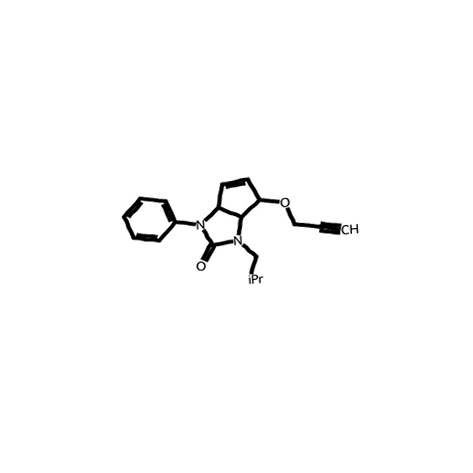 C#CCOC1C=CC2C1N(CC(C)C)C(=O)N2c1ccccc1